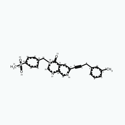 Cc1cccc(CC#Cc2cc3c(=O)n(Cc4ccc(S(C)(=O)=O)cc4)cnc3cn2)c1